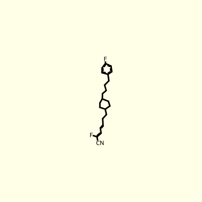 N#CC(F)=CC=CCCC1CCC(CCCCc2ccc(F)cc2)CC1